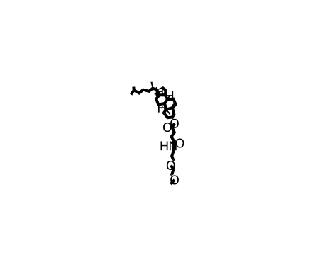 COCCOCCCNC(=O)CCC(=O)O[C@H]1CC[C@@]2(C)C(=CC[C@H]3[C@@H]4CC[C@H]([C@H](C)CCCC(C)C)[C@@]4(C)CC[C@@H]32)C1